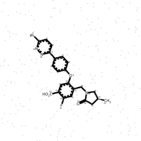 CC(C)c1ccc(-c2ccc(Oc3cc(C(=O)O)c(F)cc3CN3C[C@@H](C)CC3=O)cc2)nn1